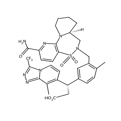 Cc1ccc([C@H](CC(=O)O)c2ccn3c(C(F)(F)F)nnc3c2C)cc1CN1C[C@@H]2CCCCN2c2nc(C(N)=O)ccc2S1(=O)=O